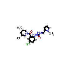 C[C@@H]1C[C@H](C)CN(C(=O)c2cc(Br)ccc2NC(=O)NCc2cccn2C)C1